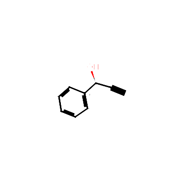 C#C[C@H](O)c1ccccc1